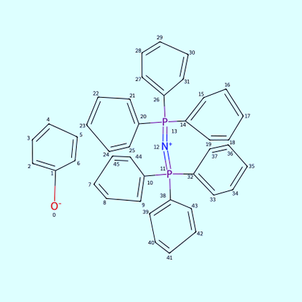 [O-]c1ccccc1.c1ccc(P(=[N+]=P(c2ccccc2)(c2ccccc2)c2ccccc2)(c2ccccc2)c2ccccc2)cc1